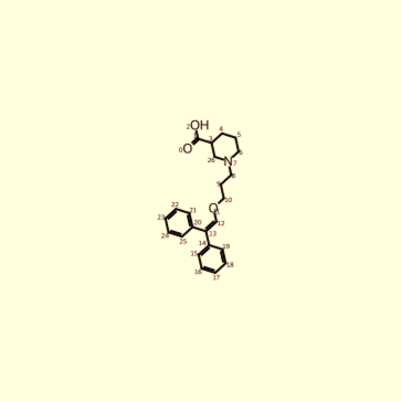 O=C(O)C1CCCN(CCCOC=C(c2ccccc2)c2ccccc2)C1